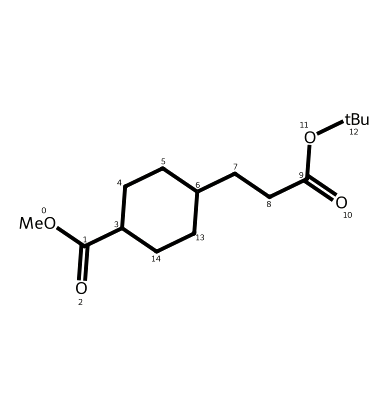 COC(=O)C1CCC(CCC(=O)OC(C)(C)C)CC1